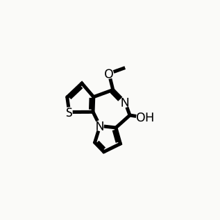 COC1=NC(O)c2cccn2-c2sccc21